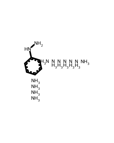 N.N.N.N.N.N.N.N.N.N.N.NNc1ccccc1